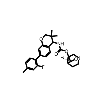 Cc1ccc(-c2ccc3c(c2)OCC(C)(C)C3NC(=O)O[C@H]2CN3CCC2CC3)c(F)c1